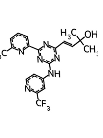 CC(C)(O)C=Cc1nc(Nc2ccnc(C(F)(F)F)c2)nc(-c2cccc(C(F)(F)F)n2)n1